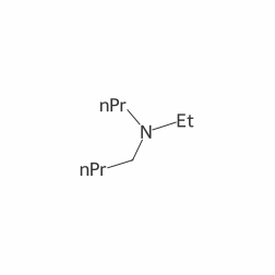 [CH2]CN(CCC)CCCC